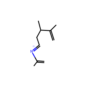 C=C(C)/N=C/CC(C)C(=C)C